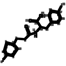 O=C(CCc1ccc(I)cc1)NC(Cc1ccc(I)cc1)C(=O)O